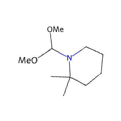 COC(OC)N1CCCCC1(C)C